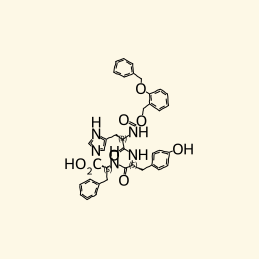 O=C(N[C@H](Cc1cnc[nH]1)C(=O)N[C@@H](Cc1ccc(O)cc1)C(=O)N[C@@H](Cc1ccccc1)C(=O)O)OCc1ccccc1OCc1ccccc1